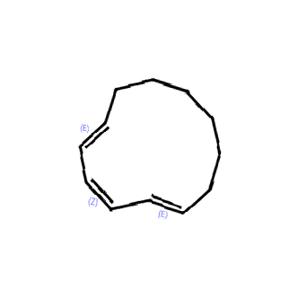 C1=C\C=C\CCCCCC/C=C/1